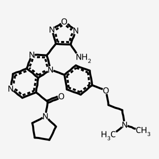 CN(C)CCOc1ccc(-n2c(-c3nonc3N)nc3cncc(C(=O)N4CCCC4)c32)cc1